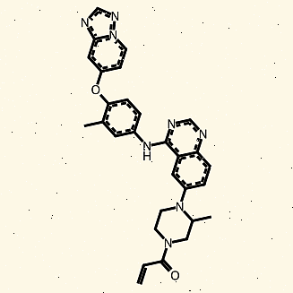 C=CC(=O)N1CCN(c2ccc3ncnc(Nc4ccc(Oc5ccn6ncnc6c5)c(C)c4)c3c2)C(C)C1